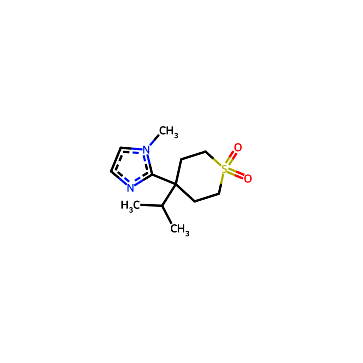 CC(C)C1(c2nccn2C)CCS(=O)(=O)CC1